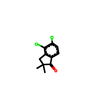 CC1(C)Cc2c(ccc(Cl)c2Cl)C1=O